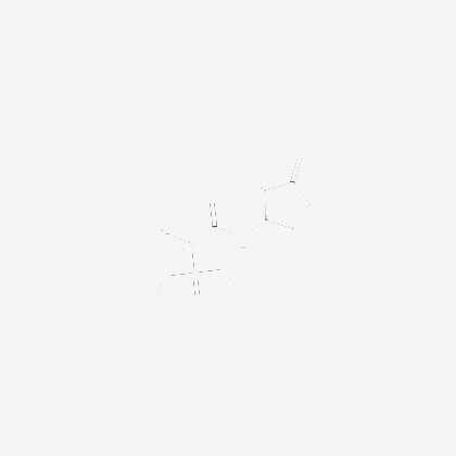 COP(=O)(OC)N(N)C(=O)OC1CCC(=O)C1